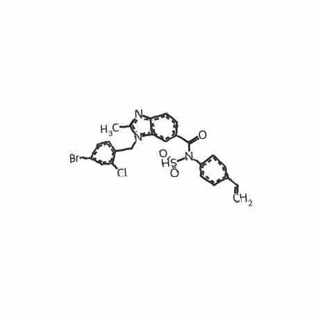 C=Cc1ccc(N(C(=O)c2ccc3nc(C)n(Cc4ccc(Br)cc4Cl)c3c2)[SH](=O)=O)cc1